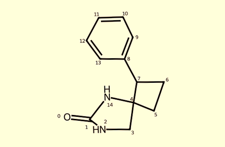 O=C1NCC2(CCC2c2ccccc2)N1